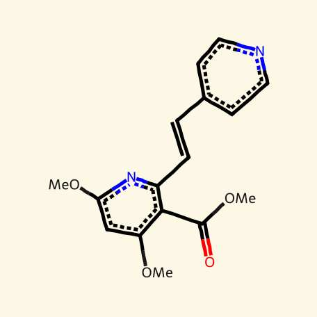 COC(=O)c1c(OC)cc(OC)nc1/C=C/c1ccncc1